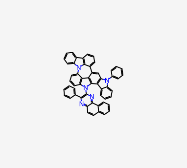 c1ccc(-c2nc3ccc4ccccc4c3nc2-n2c3cccc4c3c3c(cc5c(c6ccccc6n5-c5ccccc5)c32)c2cccc3c5ccccc5n4c23)cc1